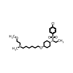 CCN([C@H]1CC[C@H](OCCCCCCN(C)CCOC)CC1)S(=O)(=O)c1ccc(Cl)cc1